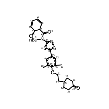 CCCCN(C(=O)C1C=CC=CC1Cl)c1nnc(-c2cc(C)c(OCCC3CCC(=O)CC3)c(C)c2)s1